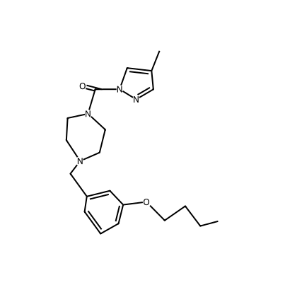 CCCCOc1cccc(CN2CCN(C(=O)n3cc(C)cn3)CC2)c1